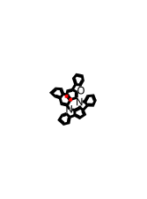 c1ccc2cc(-n3c4ccccc4c4ccc5c6ccccc6n(-c6cccc7c6oc6ccccc67)c5c43)ccc2c1